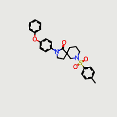 Cc1ccc(S(=O)(=O)N2CCCC3(CCN(c4ccc(Oc5ccccc5)cc4)C3=O)C2)cc1